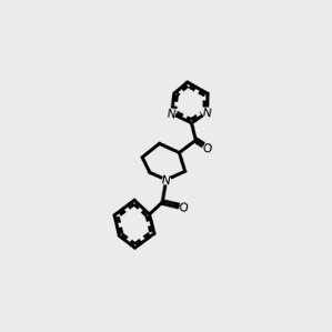 O=C(c1ncccn1)C1CCCN(C(=O)c2ccccc2)C1